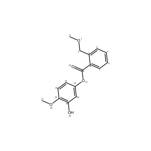 COCc1ccccc1C(=O)Oc1ccc(OC)c(O)c1